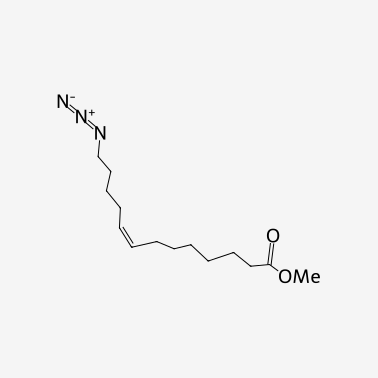 COC(=O)CCCCCC/C=C\CCCCN=[N+]=[N-]